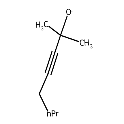 CCCCC#CC(C)(C)[O]